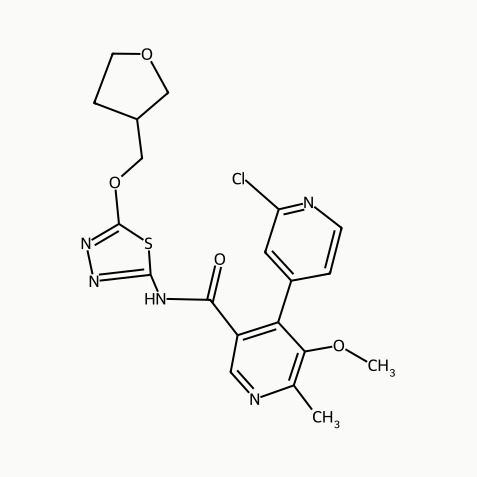 COc1c(C)ncc(C(=O)Nc2nnc(OCC3CCOC3)s2)c1-c1ccnc(Cl)c1